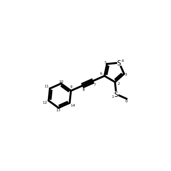 CSc1cscc1C#Cc1ccccc1